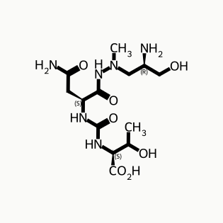 CC(O)[C@H](NC(=O)N[C@@H](CC(N)=O)C(=O)NN(C)C[C@@H](N)CO)C(=O)O